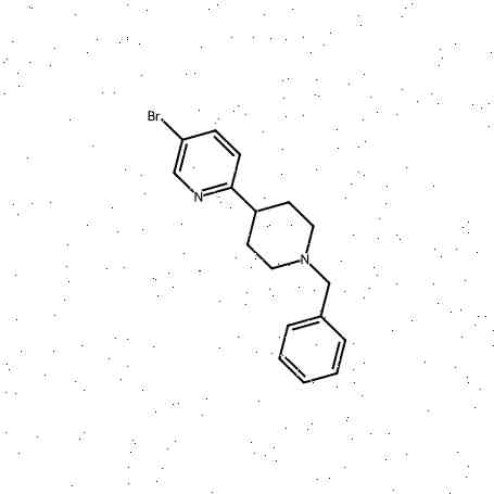 Brc1ccc(C2CCN(Cc3ccccc3)CC2)nc1